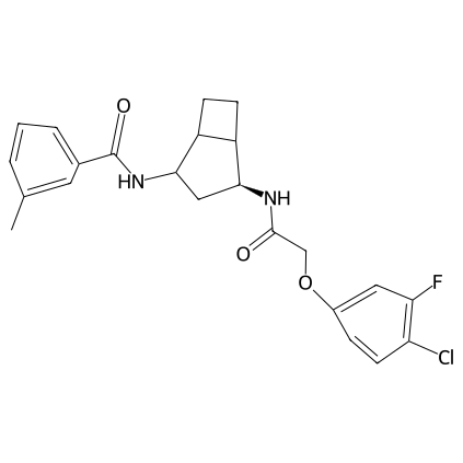 Cc1cccc(C(=O)NC2C[C@H](NC(=O)COc3ccc(Cl)c(F)c3)C3CCC23)c1